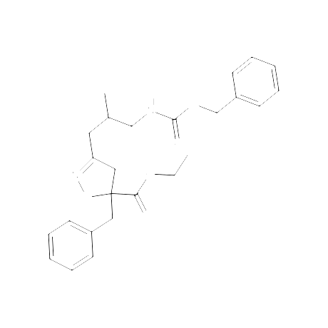 CCOC(=O)C1(Cc2ccccc2)CC(CC(C)CNC(=O)OCc2ccccc2)=NO1